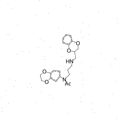 CC(=O)N(CCCNCC1COc2ccccc2O1)c1ccc2c(c1)OCCO2